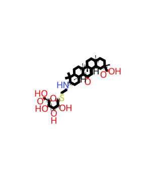 CC1(C)C2CC[C@]3(C)[C@H](C(=O)C=C4[C@@H]5C[C@@](C)(C(=O)O)CC[C@]5(C)CC[C@]43C)[C@@]2(C)CC[C@@H]1NCCS[C@@H]1O[C@H](C(=O)O)[C@@H](O)[C@H](O)[C@H]1O